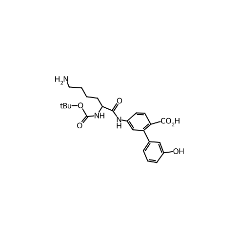 CC(C)(C)OC(=O)NC(CCCCN)C(=O)Nc1ccc(C(=O)O)c(-c2cccc(O)c2)c1